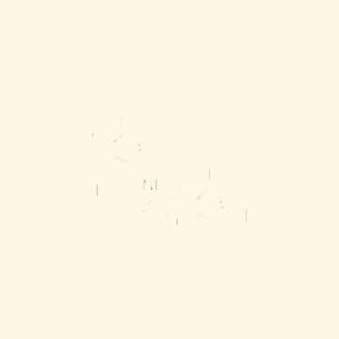 CC[C@@H](Oc1ccc(Cl)cc1Cl)C(=O)NC(C)c1ccc2c(c1)OCO2